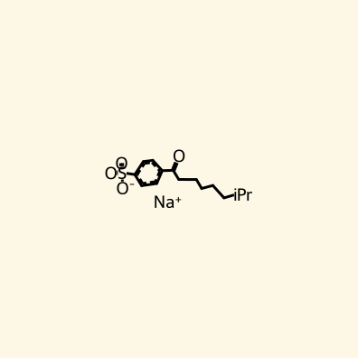 CC(C)CCCCCC(=O)c1ccc(S(=O)(=O)[O-])cc1.[Na+]